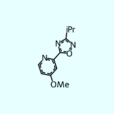 COc1ccnc(-c2nc(C(C)C)no2)c1